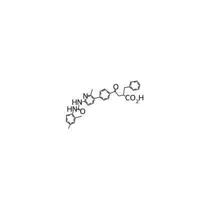 Cc1ccc(NC(=O)Nc2ccc(-c3ccc(C(=O)CC(Cc4ccccc4)C(=O)O)cc3)c(C)n2)c(C)c1